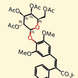 COc1cc(C=C(C(=O)O)c2ccccc2)cc(OC)c1O[C@@H]1O[C@H](COC(C)=O)[C@H](OC(C)=O)[C@H](OC(C)=O)[C@H]1OC(C)=O